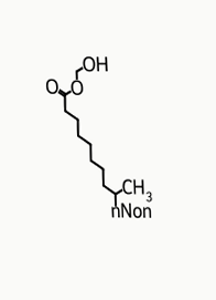 CCCCCCCCCC(C)CCCCCCCC(=O)OCO